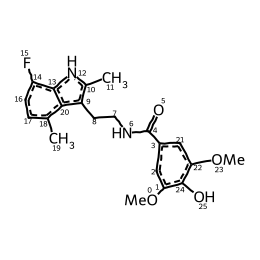 COc1cc(C(=O)NCCc2c(C)[nH]c3c(F)ccc(C)c23)cc(OC)c1O